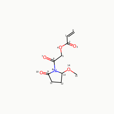 C=CC(=O)OCC(=O)N1C(=O)CCC1OC